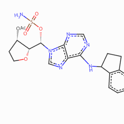 CC(=O)O[C@H]1CCO[C@H]1[C@H](OS(N)(=O)=O)n1cnc2c(NC3CCc4ccccc43)ncnc21